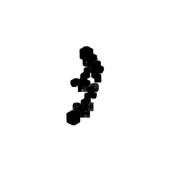 C=C/C=C\C(=C)CN(Cc1ccccc1)C(=O)NC/C=C/C(=C\C=C)CNC(=O)N(C)CCCNC(=O)NC1CCCCC1